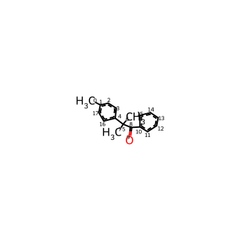 Cc1ccc(C(C)(C)C(=O)c2ccccc2)cc1